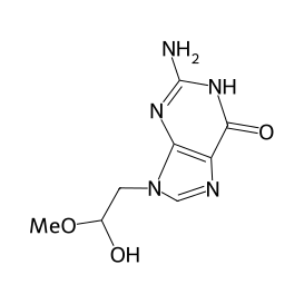 COC(O)Cn1cnc2c(=O)[nH]c(N)nc21